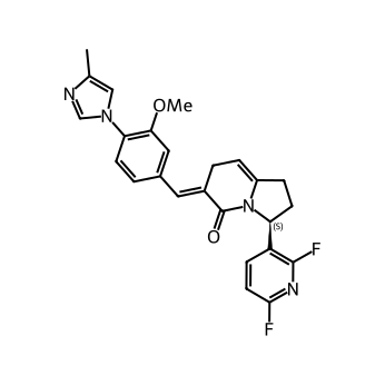 COc1cc(C=C2CC=C3CC[C@@H](c4ccc(F)nc4F)N3C2=O)ccc1-n1cnc(C)c1